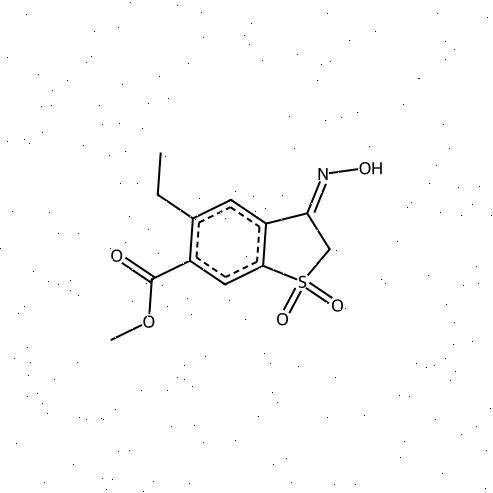 CCc1cc2c(cc1C(=O)OC)S(=O)(=O)C/C2=N\O